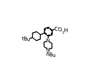 CCCCN1CCN(c2cc(C(=O)O)ccc2C2CCC(C(C)(C)C)CC2)CC1